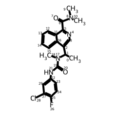 CC(c1cnc(C(=O)N(C)C)c2ccccc12)N(C)C(=O)Nc1ccc(F)c(Cl)c1